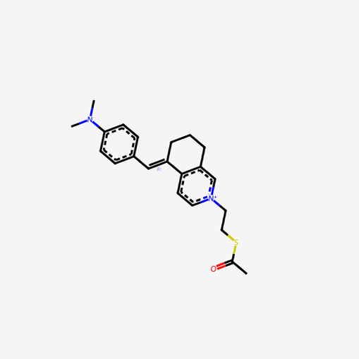 CC(=O)SCC[n+]1ccc2c(c1)CCC/C2=C\c1ccc(N(C)C)cc1